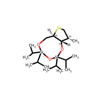 CC(C)[Si]1(C(C)C)OC[C@H]2SC[C@H](C)[C@@H]2O[Si](C(C)C)(C(C)C)O1